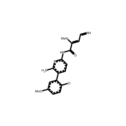 CN/C(=C\C=N)C(=O)Nc1ccc(-c2cc(OC)ccc2Cl)c(N)n1